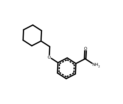 NC(=O)c1cccc(OCC2CCCCC2)c1